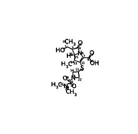 C[C@@H](O)[C@H]1C(=O)N2C(C(=O)O)=C(SC3CN(S(=O)(=O)N(C)C)C3)[C@H](C)[C@H]12